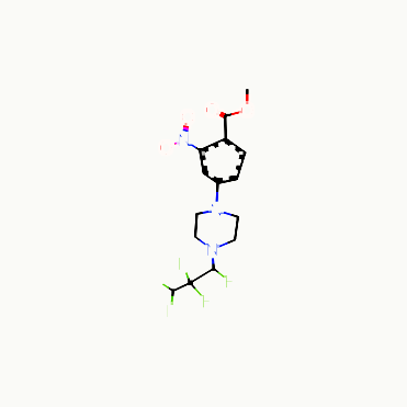 COC(=O)c1ccc(N2CCN(C(F)C(F)(F)C(F)F)CC2)cc1[N+](=O)[O-]